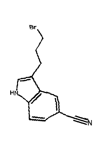 N#Cc1ccc2[nH]cc(CCCBr)c2c1